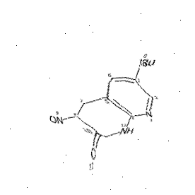 CC(C)(C)c1cnc2c(c1)CC(N=O)C(=O)N2